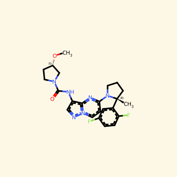 CO[C@H]1CCN(C(=O)Nc2cnn3ccc(N4CCC[C@]4(C)c4cc(F)ccc4F)nc23)C1